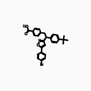 CC(C)(C)c1ccc(C(Cc2ccc(C(=O)O)cc2)c2cc(-c3ccc(Br)cc3)on2)cc1